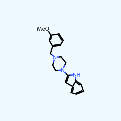 COc1cccc(CN2CCN(c3cc4ccccc4[nH]3)CC2)c1